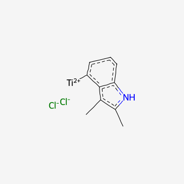 Cc1[nH]c2ccc[c]([Ti+2])c2c1C.[Cl-].[Cl-]